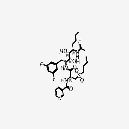 CCCC[C@@H](NC(C)=O)[C@@H](O)[C@H](O)[C@H](Cc1cc(F)cc(F)c1)NC(=O)[C@@H](CS(=O)(=O)CCCC)NC(=O)c1cccnc1